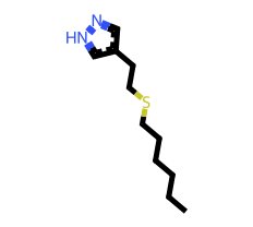 CCCCCCSCCc1cn[nH]c1